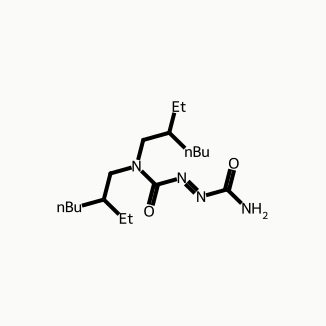 CCCCC(CC)CN(CC(CC)CCCC)C(=O)N=NC(N)=O